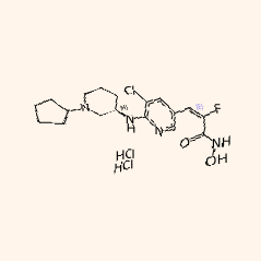 Cl.Cl.O=C(NO)/C(F)=C\c1cnc(N[C@@H]2CCCN(C3CCCC3)C2)c(Cl)c1